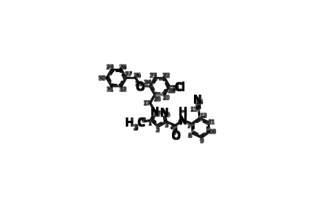 Cc1cc(C(=O)Nc2ccccc2C#N)nn1Cc1cc(Cl)ccc1OCc1ccccc1